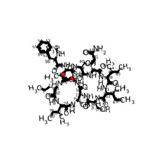 CCC[C@@H]1NC(=O)[C@H](C)NC(=O)[C@H](NC(=O)[C@H](CO)NC(=O)[C@@H](NC(=O)[C@H](NC(=O)[C@@H](CCC(N)=O)NC(=O)[C@H](CO)NC(=O)[C@@H](NC(=O)[C@@H](Cc2ccccc2)NC)[C@@H](C)CC)[C@H](C)CC)[C@@H](C)CC)[C@H](C)NC(=O)[C@H]([C@@H](C)CC)NC1=O